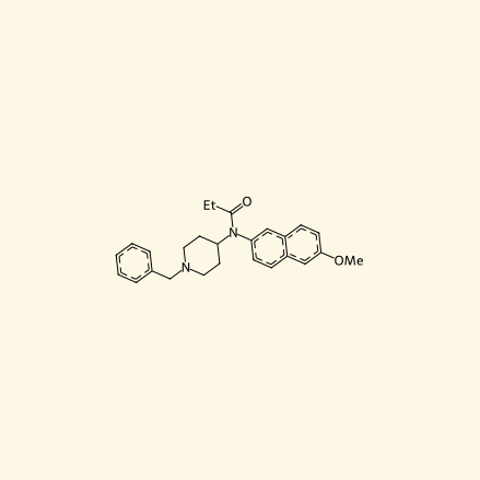 CCC(=O)N(c1ccc2cc(OC)ccc2c1)C1CCN(Cc2ccccc2)CC1